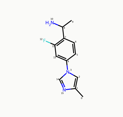 Cc1cn(-c2ccc(C(C)N)c(F)c2)cn1